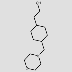 OCCC1CCC(CN2CCOCC2)CC1